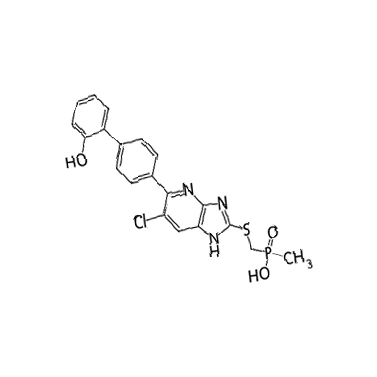 CP(=O)(O)CSc1nc2nc(-c3ccc(-c4ccccc4O)cc3)c(Cl)cc2[nH]1